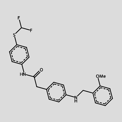 COc1ccccc1CNc1ccc(CC(=O)Nc2ccc(SC(F)F)cc2)cc1